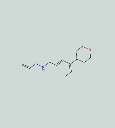 C=CCNC/C=C/C(=C\C)C1CCOCC1